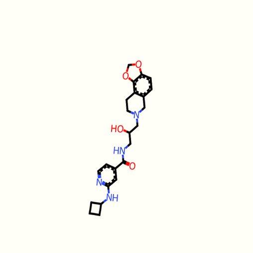 O=C(NCC(O)CN1CCc2c(ccc3c2OCO3)C1)c1ccnc(NC2CCC2)c1